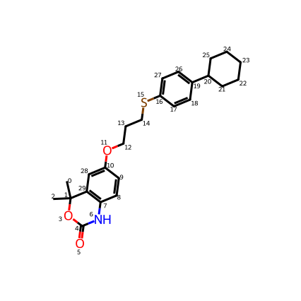 CC1(C)OC(=O)Nc2ccc(OCCCSc3ccc(C4CCCCC4)cc3)cc21